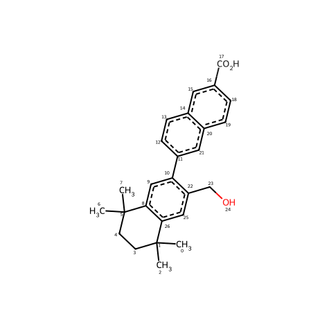 CC1(C)CCC(C)(C)c2cc(-c3ccc4cc(C(=O)O)ccc4c3)c(CO)cc21